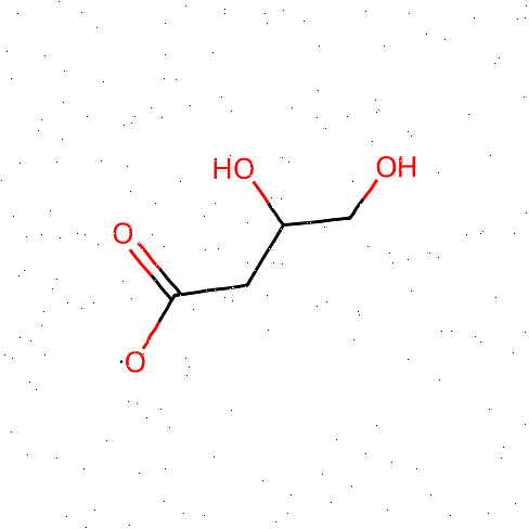 [O]C(=O)CC(O)CO